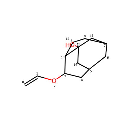 C=COC1CC2CC3CCC1C(O)(C3)C2